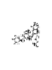 CN(C)CCOc1nc2cnccc2c(Nc2ccc(Oc3ccccc3)cc2)c1C#N